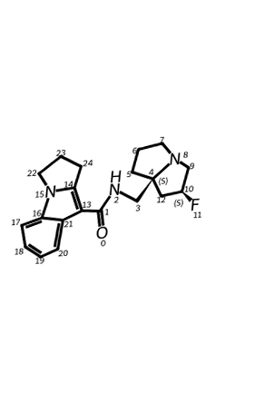 O=C(NC[C@@]12CCCN1C[C@@H](F)C2)c1c2n(c3ccccc13)CCC2